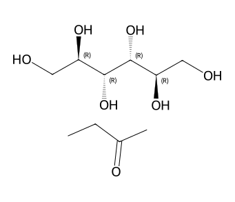 CCC(C)=O.OC[C@@H](O)[C@@H](O)[C@H](O)[C@H](O)CO